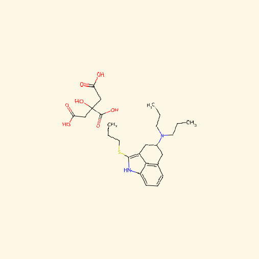 CCCSc1[nH]c2cccc3c2c1CC(N(CCC)CCC)C3.O=C(O)CC(O)(CC(=O)O)C(=O)O